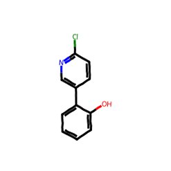 Oc1ccccc1-c1ccc(Cl)nc1